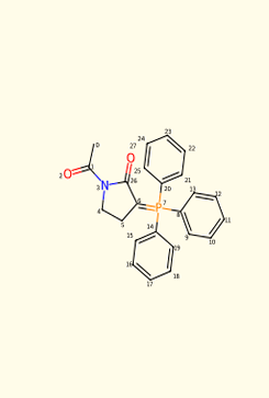 CC(=O)N1CCC(=P(c2ccccc2)(c2ccccc2)c2ccccc2)C1=O